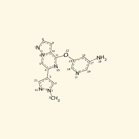 Cn1cc(-c2cn3nccc3c(Oc3cncc(N)c3)n2)cn1